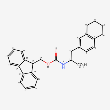 O=C(NC(Cc1ccc2c(c1)CCCC2)C(=O)O)OCC1c2ccccc2-c2ccccc21